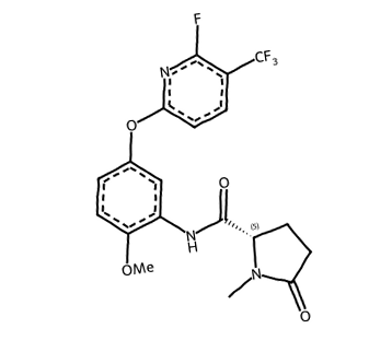 COc1ccc(Oc2ccc(C(F)(F)F)c(F)n2)cc1NC(=O)[C@@H]1CCC(=O)N1C